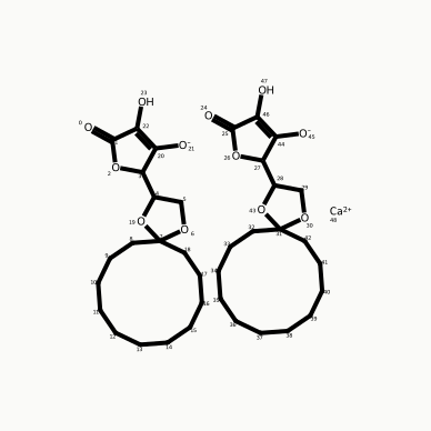 O=C1OC(C2COC3(CCCCCCCCCCC3)O2)C([O-])=C1O.O=C1OC(C2COC3(CCCCCCCCCCC3)O2)C([O-])=C1O.[Ca+2]